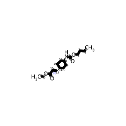 CCCCOC(=O)N[C@H]1CC[C@H](/C=C/C(=O)OCC)CC1